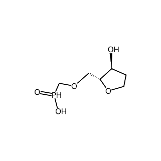 O=[PH](O)COC[C@H]1OCC[C@@H]1O